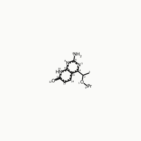 CC(C)OC(C)c1nc(N)nc2[nH]c(=O)ccc12